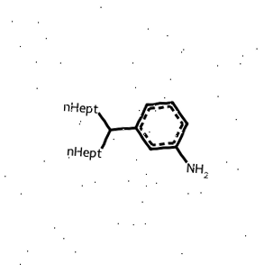 CCCCCCCC(CCCCCCC)c1cccc(N)c1